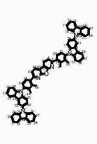 Cc1c(-c2ccc3c(n2)oc2nc(-c4ccc(-n5c6ccccc6c6cc(-n7c8ccccc8c8ccccc87)ccc65)c(C)c4C)ccc23)ccc(-n2c3ccccc3c3cc(-n4c5ccccc5c5ccccc54)ccc32)c1C